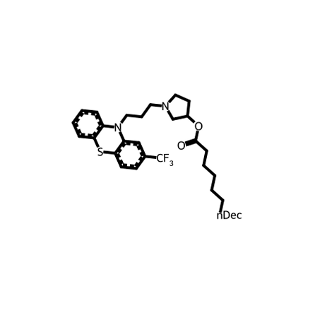 CCCCCCCCCCCCCCCC(=O)OC1CCN(CCCN2c3ccccc3Sc3ccc(C(F)(F)F)cc32)C1